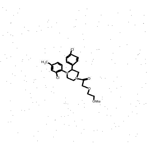 COCCOCC(=O)N1CCN(c2ccc(C)cc2Cl)C(c2ccc(Cl)cc2)C1